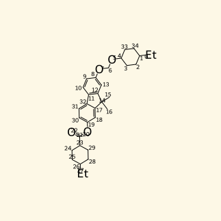 CCC1CCC(OCOc2ccc3c(c2)C(C)(C)c2cc(OC(=O)C4CCC(CC)CC4)ccc2-3)CC1